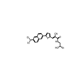 CCC(O)CNC(=O)/C(C#N)=C/c1ccc(-c2ccc3cc(N(CC)CC)ccc3c2)s1